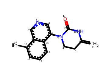 C=C1CCN(c2cncc3c(C(C)C)cccc23)C(=O)N1